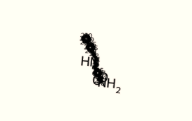 NS(=O)(=O)c1ccc(CCNCC#Cc2ccc(-c3ccccc3)cc2)cc1